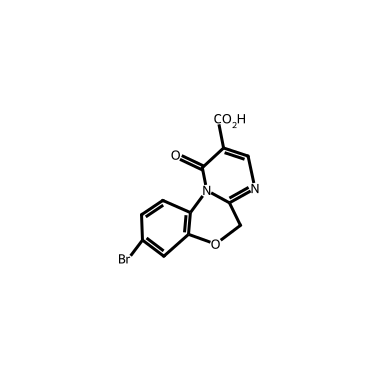 O=C(O)c1cnc2n(c1=O)-c1ccc(Br)cc1OC2